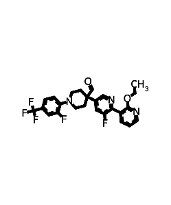 CCOc1ncccc1-c1ncc(C2(C=O)CCN(c3ccc(C(F)(F)F)cc3F)CC2)cc1F